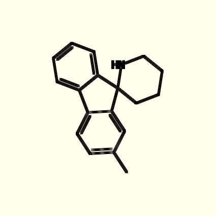 Cc1ccc2c(c1)C1(CCCCN1)c1ccccc1-2